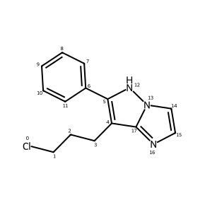 ClCCCc1c(-c2ccccc2)[nH]n2ccnc12